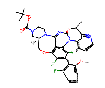 COc1cccc(F)c1-c1c(F)c2c3c(nc(=O)n(-c4c(C)ccnc4C(C)C)c3c1F)N1CCN(C(=O)OC(C)(C)C)C[C@@H]1CO2